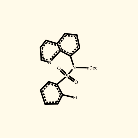 CCCCCCCCCCN(c1cccc2cccnc12)S(=O)(=O)c1ccccc1CC